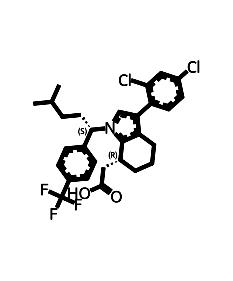 CC(C)CC[C@@H](c1ccc(C(F)(F)F)cc1)n1cc(-c2ccc(Cl)cc2Cl)c2c1[C@@H](CC(=O)O)CCC2